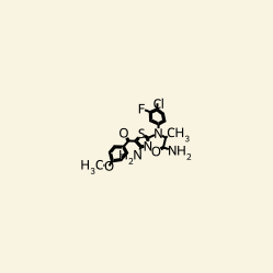 COc1ccc(C(=O)c2sc(N(c3ccc(Cl)c(F)c3)C(C)C(N)=O)nc2N)cc1